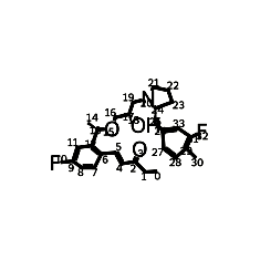 CCC(=O)/C=C/c1ccc(F)cc1[C@@H](C)OC[C@H](O)CN1CCC[C@H]1Cc1ccc(C)c(F)c1